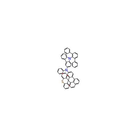 c1ccc(-c2cccc(-c3ccccc3)c2-n2c3ccccc3c3cc(N(c4ccccc4)c4ccc5c(c4)C4(c6ccccc6Sc6ccccc64)c4cccc6cccc-5c46)ccc32)cc1